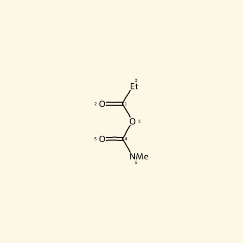 CCC(=O)OC(=O)NC